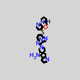 N[C@@H]1c2cccnc2CC12CCN(c1nc3ccc(Sc4ccnc5c4OC[C@@H]4CCCN54)c4ncc1n34)CC2